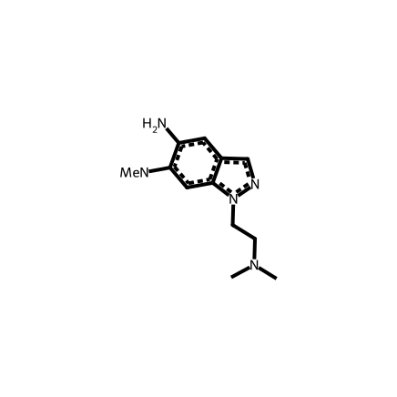 CNc1cc2c(cnn2CCN(C)C)cc1N